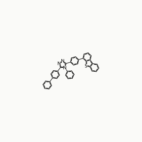 c1ccc(-c2ccc(-c3nnc(-c4ccc(-c5cccc6c5sc5ccccc56)cc4)n3-c3ccccc3)cc2)cc1